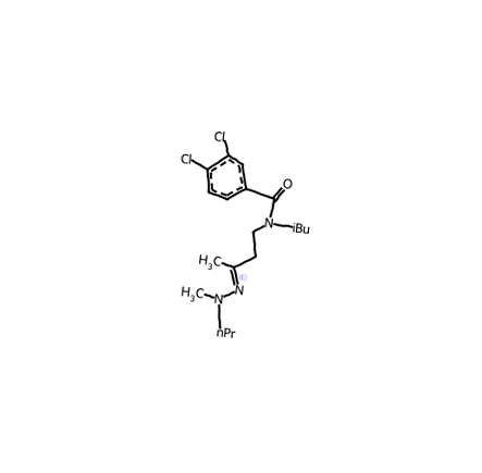 CCCN(C)/N=C(\C)CCN(C(=O)c1ccc(Cl)c(Cl)c1)C(C)CC